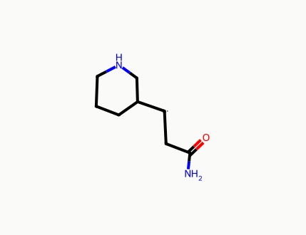 NC(=O)C[CH]C1CCCNC1